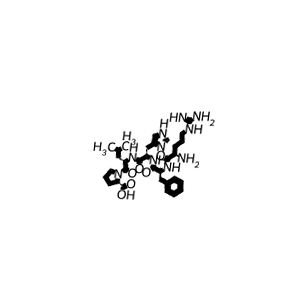 CC(C)C[C@H](NC(=O)[C@H](Cc1c[nH]cn1)NC(=O)[C@H](Cc1ccccc1)NC(=O)[C@@H](N)CCCNC(=N)N)C(=O)N1CCC[C@H]1C(=O)O